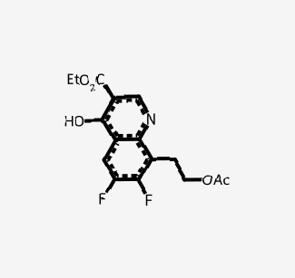 CCOC(=O)c1cnc2c(CCOC(C)=O)c(F)c(F)cc2c1O